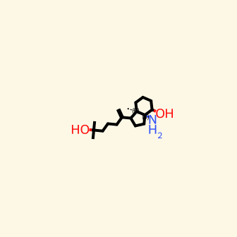 C=C(CCCC(C)(C)O)C1CC[C@@]2(N)C(O)CCC[C@]12C